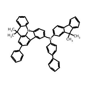 CC1(C)c2ccccc2-c2ccc(N(c3ccc(-c4ccccc4)cc3)c3ccc4c(c3)c3cc(-c5ccccc5)cc5c3n4-c3ccccc3C5(C)C)cc21